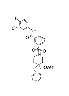 COCC1(Cc2ccccc2)CCN(S(=O)(=O)c2cccc(C(=O)Nc3ccc(F)c(Cl)c3)c2)CC1